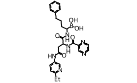 CCc1ccc(NC(=O)CC(NC(=O)c2cnccn2)C(=O)NC(CCCc2ccccc2)B(O)O)cn1